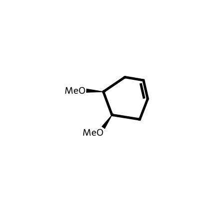 CO[C@H]1CC=CC[C@H]1OC